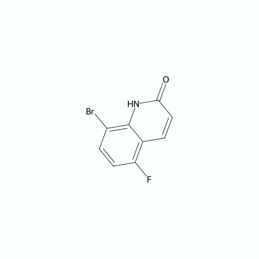 O=c1ccc2c(F)ccc(Br)c2[nH]1